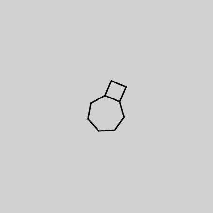 [CH]1CCCC2CCC2C1